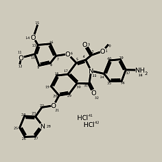 COC(=O)c1c(Oc2ccc(OC)c(OC)c2)c2ccc(OCc3ccccn3)cc2c(=O)n1-c1ccc(N)cc1.Cl.Cl